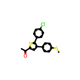 CSc1ccc(-c2cc(C(C)=O)sc2-c2ccc(Cl)cc2)cc1